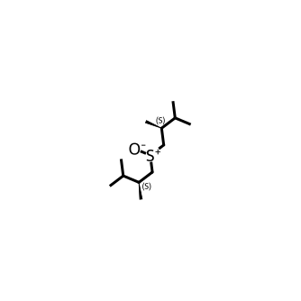 CC(C)[C@H](C)C[S+]([O-])C[C@@H](C)C(C)C